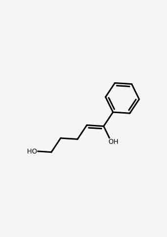 OCCCC=C(O)c1ccccc1